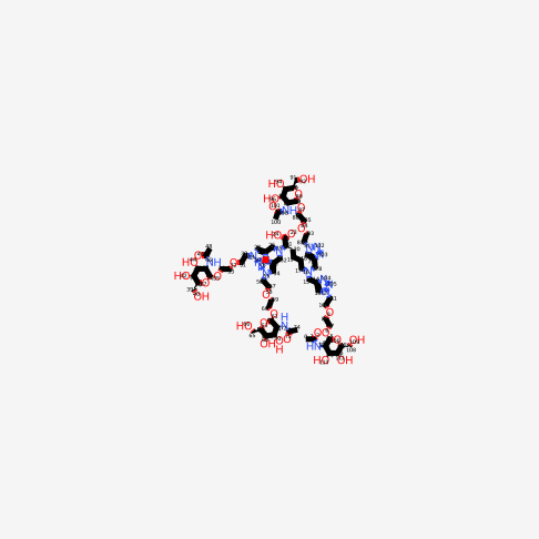 CC(=O)N[C@H]1[C@H](OCCOCCn2cc(CN(CCCC[C@@H](C(=O)O)N(Cc3cn(CCOCCO[C@@H]4O[C@H](CO)[C@H](O)[C@H](O)[C@H]4NC(C)=O)nn3)Cc3cn(CCOCCO[C@@H]4O[C@H](CO)[C@H](O)[C@H](O)[C@H]4NC(C)=O)nn3)Cc3cn(CCOCCO[C@@H]4O[C@H](CO)[C@H](O)[C@H](O)[C@H]4NC(C)=O)nn3)nn2)O[C@H](CO)[C@H](O)[C@@H]1O